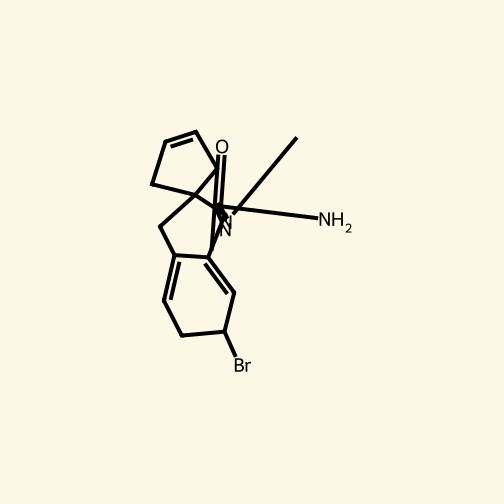 CN1C(=O)C2(N=C1N)C1=CC(Br)CC=C1CC21CC=CC1